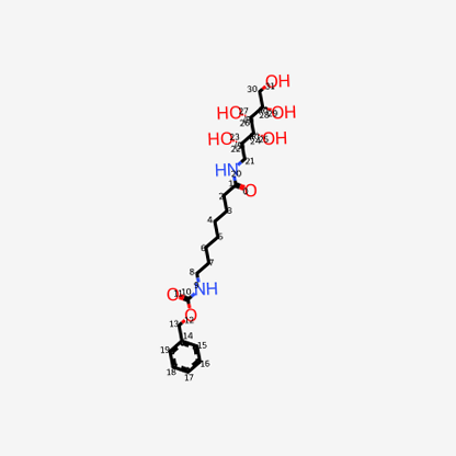 O=C(CCCCCCCNC(=O)OCc1ccccc1)NC[C@H](O)[C@@H](O)[C@H](O)[C@H](O)CO